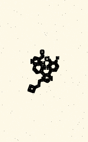 N=C(/C=C\c1ncc(C=O)[nH]1)c1c(-c2ccc(F)c(Cl)c2)ncn1CCC1CCC1